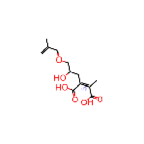 C=C(C)COCC(O)C/C(C(=O)O)=C(\C)C(=O)O